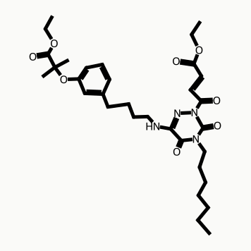 CCCCCCCn1c(=O)c(NCCCCc2cccc(OC(C)(C)C(=O)OCC)c2)nn(C(=O)C=CC(=O)OCC)c1=O